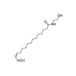 CCCCCCCC/C=C\CCCCCCCCCCCC(=O)NCCO